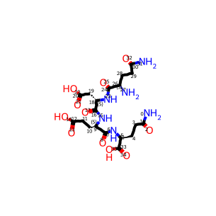 NC(=O)CC[C@H](NC(=O)[C@H](CCC(=O)O)NC(=O)[C@H](CC(=O)O)NC(=O)[C@@H](N)CCC(N)=O)C(=O)O